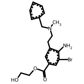 CN(CCc1cc(C(=O)OCCO)cc(Br)c1N)Cc1ccccc1